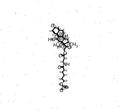 C[C@H]1C[C@H]2[C@@H]3CCC4=CC(=O)C=C[C@]4(C)[C@@]3(F)[C@@H](O)CC2(C)[C@@]1(O)C(=O)COC(=O)CCNC(=O)CCCCCO[N+](=O)[O-]